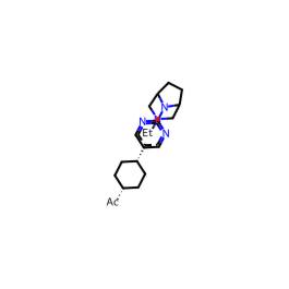 CCN1CC2CCC(C1)N2c1ncc([C@H]2CC[C@@H](C(C)=O)CC2)cn1